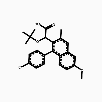 COc1ccc2c(-c3ccc(Cl)cc3)c(C(OC(C)(C)C)C(=O)O)c(C)cc2c1